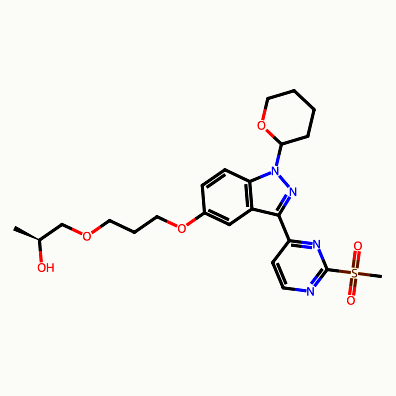 C[C@H](O)COCCCOc1ccc2c(c1)c(-c1ccnc(S(C)(=O)=O)n1)nn2C1CCCCO1